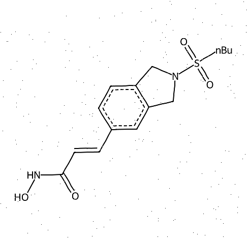 CCCCS(=O)(=O)N1Cc2ccc(C=CC(=O)NO)cc2C1